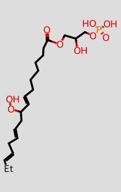 CCC=CCC=CCC(C=CCCCCCCC(=O)OCC(O)COP(=O)(O)O)OO